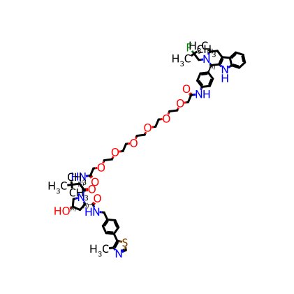 Cc1ncsc1-c1ccc(CNC(=O)[C@@H]2C[C@@H](O)CN2C(=O)[C@@H](NC(=O)COCCOCCOCCOCCOCCOCC(=O)Nc2ccc([C@@H]3c4[nH]c5ccccc5c4C[C@@H](C)N3CC(C)(C)F)cc2)C(C)(C)C)cc1